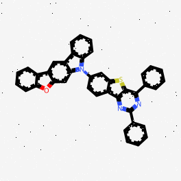 c1ccc(-c2nc(-c3ccccc3)c3sc4cc(-n5c6ccccc6c6cc7c(cc65)oc5ccccc57)ccc4c3n2)cc1